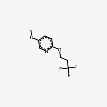 COc1ccc(OCCC(F)(F)F)nc1